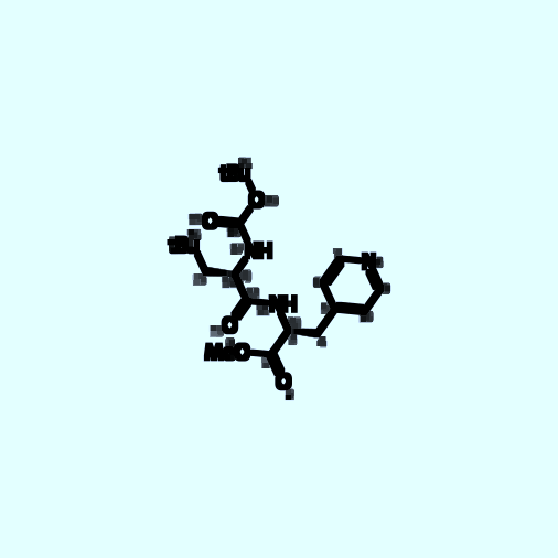 COC(=O)[C@H](Cc1ccncc1)NC(=O)[C@@H](CC(C)(C)C)NC(=O)OC(C)(C)C